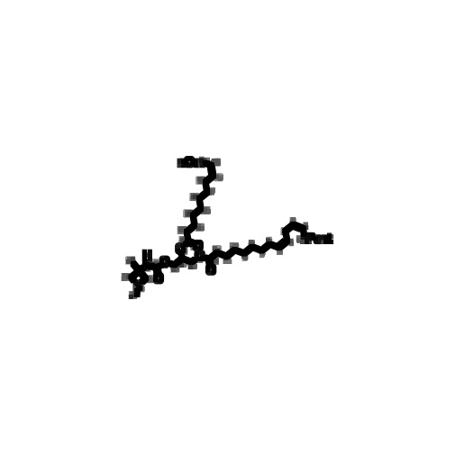 CCCCC/C=C\C/C=C\CCCCCCCC(=O)OCC(COC(=O)NC1(C)CN(C)C1)OC(=O)CCCCCCC/C=C\CCCCCCCC